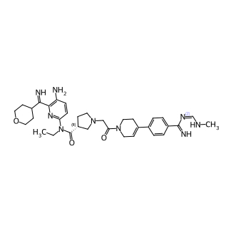 CCN(C(=O)[C@@H]1CCN(CC(=O)N2CC=C(c3ccc(C(=N)/N=C\NC)cc3)CC2)C1)c1ccc(N)c(C(=N)C2CCOCC2)n1